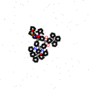 Cc1cccc(C)c1N1c2cc3c(cc2B2c4ccccc4N(c4ccccc4)c4cc(Sc5ccccc5)cc1c42)B1c2cc4c(cc2Oc2cc([Si](c5ccccc5)(c5ccccc5)c5ccccc5)cc(c21)O3)N(c1c(C)cccc1C)c1cc([Si](c2ccccc2)(c2ccccc2)c2ccccc2)cc2c1B4c1ccccc1N2c1ccccc1